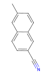 Cc1ccc2cc(C#N)ccc2c1